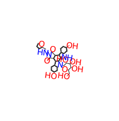 O=C1c2c(c3c4ccc(O)cc4n(C4OC(CO)C(O)C(O)C4O)c3c3[nH]c4cc(O)ccc4c23)C(=O)N1NCc1ccco1